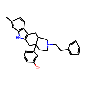 Cc1ccc2c3c([nH]c2c1)CC1(c2cccc(O)c2)CCN(CCc2ccccc2)CC1C3